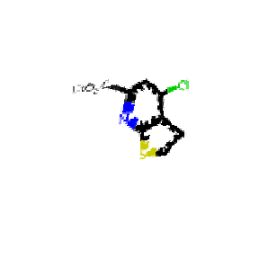 CCOC(=O)c1cc(Cl)c2ccsc2n1